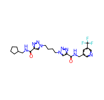 O=C(NCc1cncc(C(F)(F)F)c1)c1cn(CCCCn2cc(C(=O)NCC3CCCC3)nn2)nn1